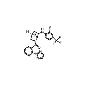 O=C(c1ccccc1-n1nccn1)N1C[C@H]2CC(Nc3ncc(C(F)(F)F)cc3F)C1C2